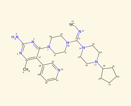 Cc1nc(N)nc(N2CCN(/C(=N\C#N)N3CCN(C4CCCC4)CC3)CC2)c1-c1cccnc1